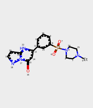 CCN1CCN(S(=O)(=O)c2cccc(-c3cc(=O)n4nccc4[nH]3)c2)CC1